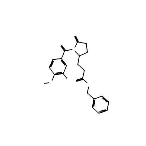 COc1ccc(C(=O)N2C(=O)CCC2CCC(=O)OCc2ccccc2)cc1O